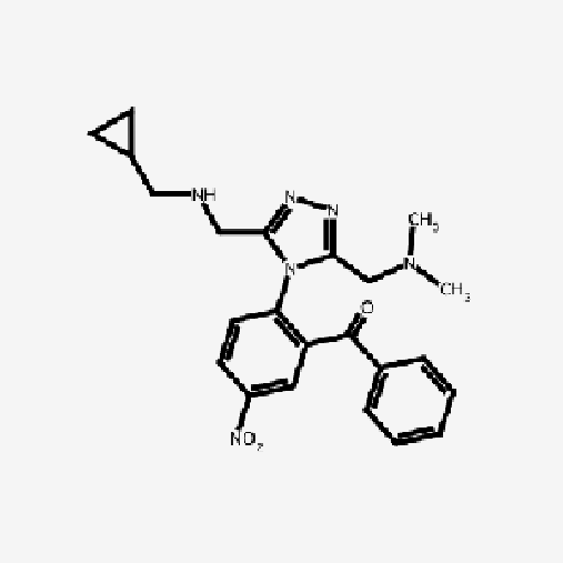 CN(C)Cc1nnc(CNCC2CC2)n1-c1ccc([N+](=O)[O-])cc1C(=O)c1ccccc1